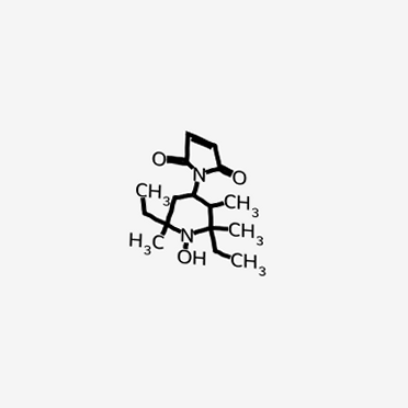 CCC1(C)CC(N2C(=O)C=CC2=O)C(C)C(C)(CC)N1O